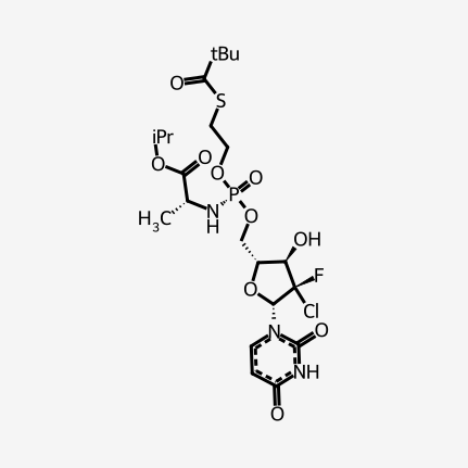 CC(C)OC(=O)[C@@H](C)N[P@@](=O)(OCCSC(=O)C(C)(C)C)OC[C@H]1O[C@@H](n2ccc(=O)[nH]c2=O)[C@@](F)(Cl)[C@@H]1O